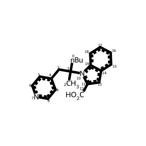 CCCCC(C)(Cc1ccncc1)n1c(C(=O)O)cc2ccccc21